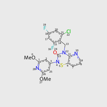 COc1cc(N2Sc3cccnc3N(Cc3c(F)cc(F)cc3Cl)C2=O)cc(OC)n1